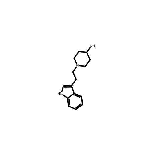 NC1CCN(CCc2c[nH]c3ccccc23)CC1